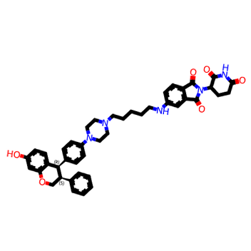 O=C1CCC(N2C(=O)c3ccc(NCCCCCN4CCN(c5ccc([C@@H]6c7ccc(O)cc7OC[C@@H]6c6ccccc6)cc5)CC4)cc3C2=O)C(=O)N1